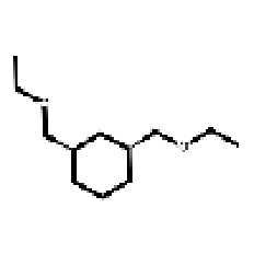 CCOC[C@H]1CCC[C@@H](COCC)C1